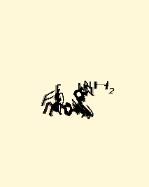 Nc1ncc2cc(-c3nnn(Cc4ccc(-c5nnc(C(F)F)o5)cc4)n3)ccc2n1